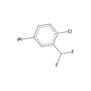 C[C](C)c1ccc(Cl)c(C(F)F)c1